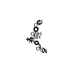 CN1CCN(C(=O)Cc2ccc(-n3nc(C(C)(C)C)cc3NC(=O)Nc3ccc(Oc4ccncc4)cc3)cc2)CC1